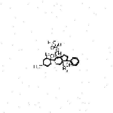 CC[C@H]1C[C@@H](C)CC[C@]1(C)[C@H]1CC[C@@]2(C)[C@@H](CC[C@@]2(O)c2ccccc2)[C@@H]1COS(C)(=O)=O